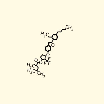 CCCCCc1ccc(-c2cc3ccc(OC4CCC(OC(=O)C(C)CC(C)C)C4C(F)(F)F)cc3o2)c(CC)c1